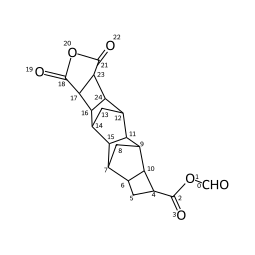 O=COC(=O)C1CC2C3CC(C12)C1C2CC(C31)C1C3C(=O)OC(=O)C3C21